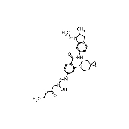 CCOC(=O)CN(O)SNc1ccc(C(=O)Nc2ccc3c(c2)N(SC)C(C)C3)c(N2CCC3(CC2)CC3)c1